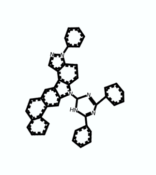 c1ccc(C2=NC(n3c4cc5c(ccc6ccccc65)cc4c4c5cnn(-c6ccccc6)c5ccc43)NC(c3ccccc3)=N2)cc1